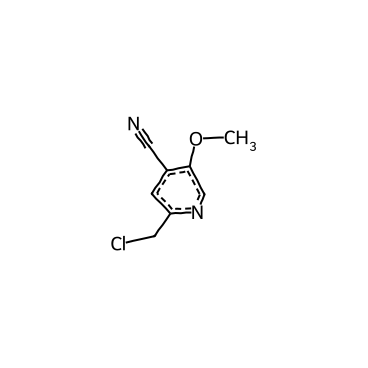 COc1cnc(CCl)cc1C#N